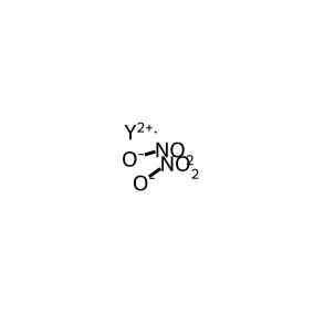 O=[N+]([O-])[O-].O=[N+]([O-])[O-].[Y+2]